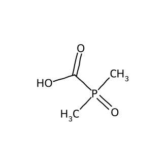 CP(C)(=O)C(=O)O